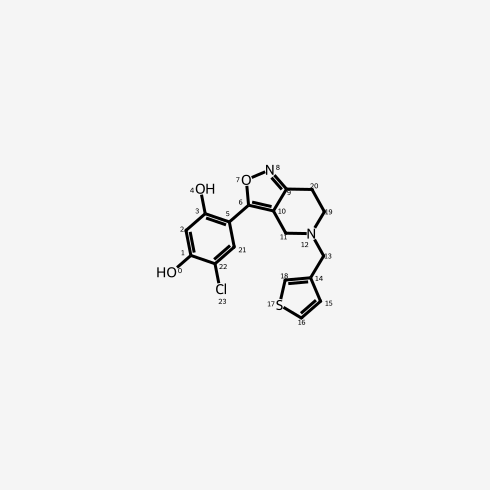 Oc1cc(O)c(-c2onc3c2CN(Cc2ccsc2)CC3)cc1Cl